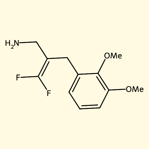 COc1cccc(CC(CN)=C(F)F)c1OC